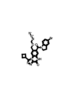 [N-]=[N+]=NCOCc1cc2c(cc1C(=O)N1CCc3cc(Br)ccc31)[nH]c(=O)c1nnc(C3CCC3)n12